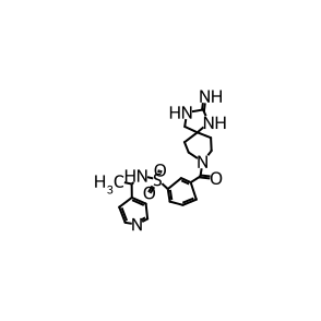 CC(NS(=O)(=O)c1cccc(C(=O)N2CCC3(CC2)CNC(=N)N3)c1)c1ccncc1